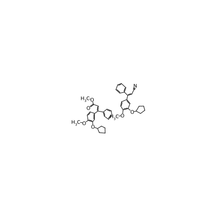 COC(=O)C=C(c1ccccc1)c1ccc(OC)c(OC2CCCC2)c1.COc1ccc(C(=CC#N)c2ccccc2)cc1OC1CCCC1